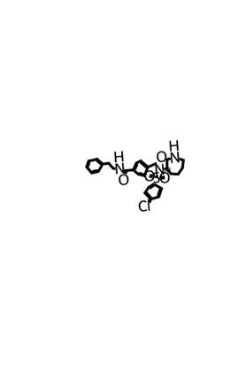 O=C(NCCc1ccccc1)c1ccc(CN([C@@H]2CCCCNC2=O)S(=O)(=O)c2ccc(Cl)cc2)cc1